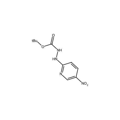 CC(C)(C)OC(=O)NNc1ccc([N+](=O)[O-])cn1